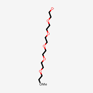 COCCOCCOCCOCCOCCOCC[O]